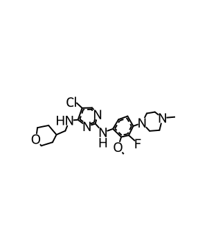 COc1c(Nc2ncc(Cl)c(NCC3CCOCC3)n2)ccc(N2CCN(C)CC2)c1F